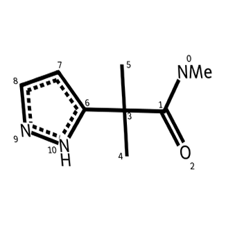 CNC(=O)C(C)(C)c1ccn[nH]1